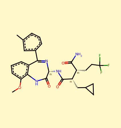 COc1cccc2c1NC(=O)[C@@H](NC(=O)[C@@H](CC1CC1)[C@@H](CCC(F)(F)F)C(N)=O)N=C2c1cccc(C)c1